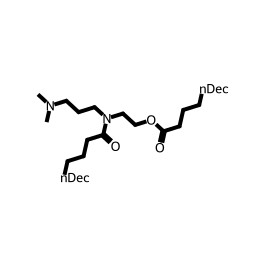 CCCCCCCCCCCCCC(=O)OCCN(CCCN(C)C)C(=O)CCCCCCCCCCCCC